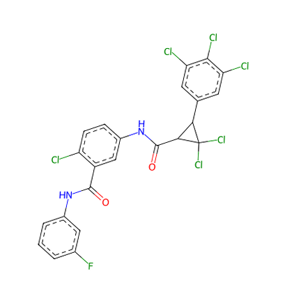 O=C(Nc1cccc(F)c1)c1cc(NC(=O)C2C(c3cc(Cl)c(Cl)c(Cl)c3)C2(Cl)Cl)ccc1Cl